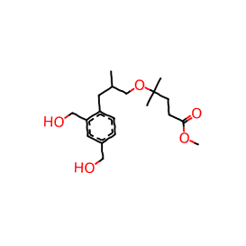 COC(=O)CCC(C)(C)OCC(C)Cc1ccc(CO)cc1CO